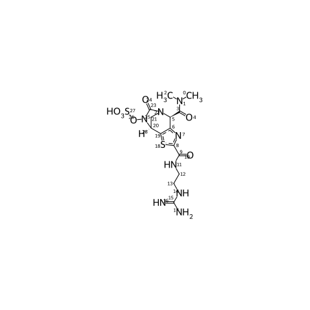 CN(C)C(=O)[C@H]1c2nc(C(=O)NCCNC(=N)N)sc2[C@@H]2CN1C(=O)N2OS(=O)(=O)O